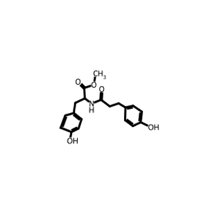 COC(=O)C(Cc1ccc(O)cc1)NC(=O)CCc1ccc(O)cc1